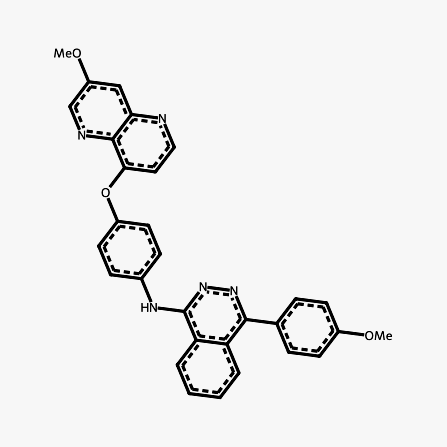 COc1ccc(-c2nnc(Nc3ccc(Oc4ccnc5cc(OC)cnc45)cc3)c3ccccc23)cc1